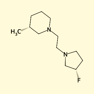 C[C@@H]1CCCN(CCN2CC[C@H](F)C2)C1